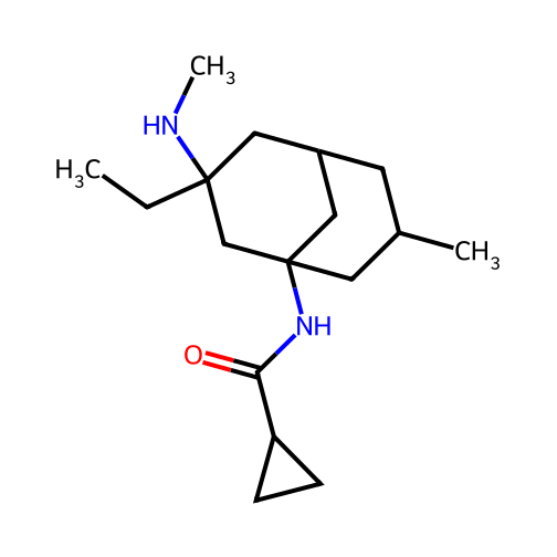 CCC1(NC)CC2CC(C)CC(NC(=O)C3CC3)(C2)C1